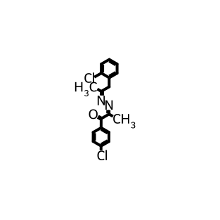 C/C(Cc1ccccc1Cl)=N/N=C(/C)C(=O)c1ccc(Cl)cc1